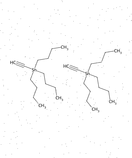 C#[C][Sn]([CH2]CCC)([CH2]CCC)[CH2]CCC.C#[C][Sn]([CH2]CCC)([CH2]CCC)[CH2]CCC